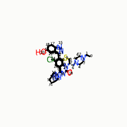 CCN1CCN(C[C@H]2CSc3c(-c4nn(C)c5ccc(O)cc45)c(Cl)cc4c(N5CC6CCC(C5)N6)nc(=O)n2c34)CC1